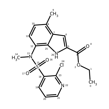 CCOC(=O)c1cc2c(C)ccc(N(C)S(=O)(=O)c3cccnc3Cl)c2[nH]1